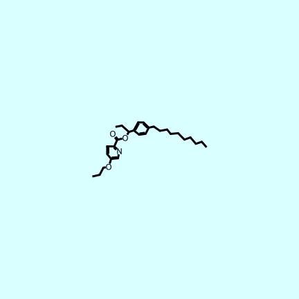 CCCCCCCCCCc1ccc(C(CC)OC(=O)c2ccc(OCCC)cn2)cc1